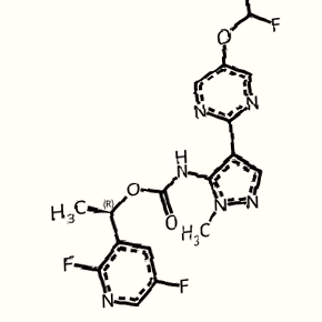 C[C@@H](OC(=O)Nc1c(-c2ncc(OC(F)F)cn2)cnn1C)c1cc(F)cnc1F